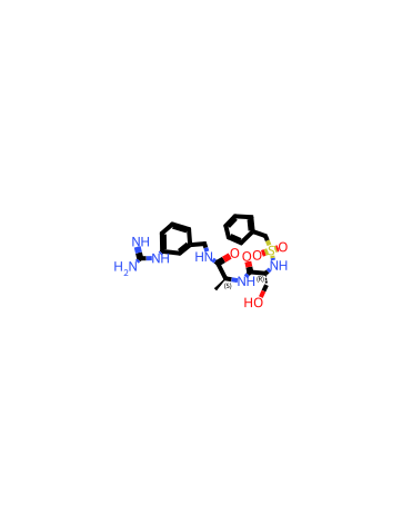 C[C@H](NC(=O)[C@@H](CO)NS(=O)(=O)Cc1ccccc1)C(=O)NCc1cccc(NC(=N)N)c1